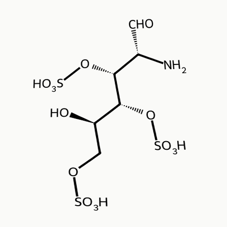 N[C@@H](C=O)[C@@H](OS(=O)(=O)O)[C@H](OS(=O)(=O)O)[C@H](O)COS(=O)(=O)O